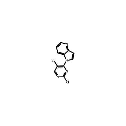 Clc1ncc(Cl)c(-n2ccc3ncccc32)n1